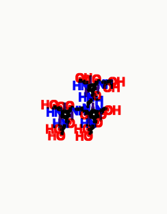 O=C(CO)Nc1c(I)c(C(=O)NCCCN(CCCNC(=O)c2c(I)c(NC(=O)CO)c(I)c(C(=O)NCC(O)CO)c2I)C(=O)c2c(I)c(NC(=O)CO)c(I)c(C(=O)NCC(O)CO)c2I)c(I)c(C(=O)NCC(O)CO)c1I